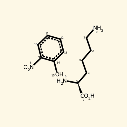 NCCCC[C@H](N)C(=O)O.O=[N+]([O-])c1ccccc1O